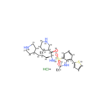 CCC(=O)Nc1c(-c2cccs2)cccc1S(=O)(=O)N[C@@H](CCCC1CCNCC1)C(=O)C1CNCCC1CC.Cl